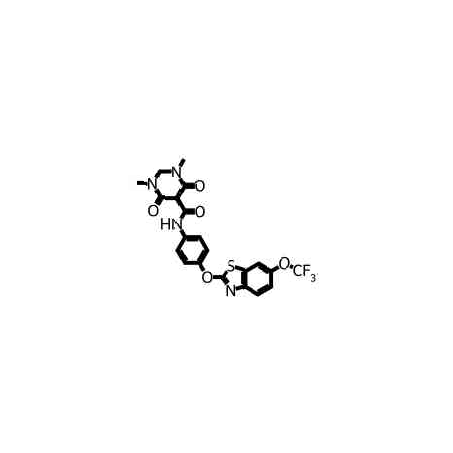 CN1CN(C)C(=O)C(C(=O)Nc2ccc(Oc3nc4ccc(OC(F)(F)F)cc4s3)cc2)C1=O